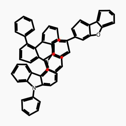 c1ccc(-c2ccccc2-c2c(-c3ccccc3)cccc2N(c2ccc(-c3ccc4c(c3)oc3ccccc34)cc2)c2cccc3c2c2ccccc2n3-c2ccccc2)cc1